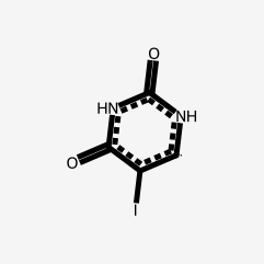 O=c1[nH][c]c(I)c(=O)[nH]1